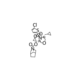 O=C(OC1([C@H]2COC[C@@H](CC3CC3)N2S(=O)(=O)c2ccc(Cl)s2)CC1)N1CC2CCC(C2)C1